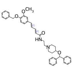 COc1cc(/C=C/C=C/C(=O)NCCN2CCC(OC(c3ccccc3)c3ccccc3)CC2)ccc1OCc1ccccc1